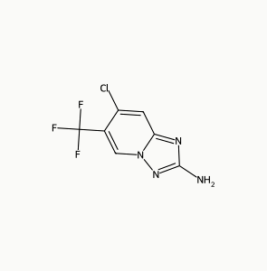 Nc1nc2cc(Cl)c(C(F)(F)F)cn2n1